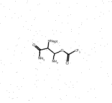 CCCCCCCC(C(N)=O)C(N)OC(=O)C(F)(F)F